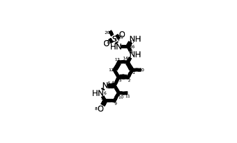 Cc1cc(C2=NNC(=O)CC2C)ccc1NC(=N)NS(C)(=O)=O